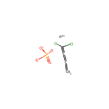 C=C=C=C(Cl)Cl.O=P([O-])([O-])[O-].[Al+3]